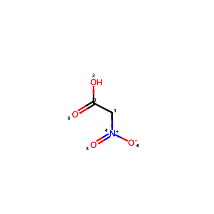 O=C(O)C[N+](=O)[O-]